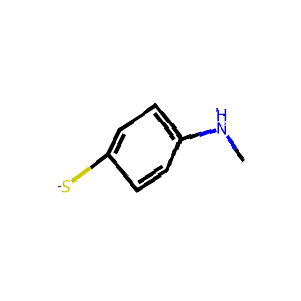 CNc1ccc([S])cc1